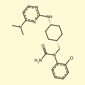 CN(C)c1ccnc(N[C@H]2CC[C@@H](CN(C(N)=O)c3ccccc3Cl)CC2)n1